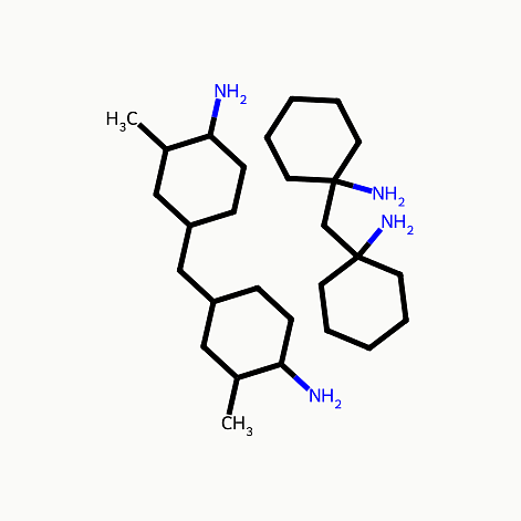 CC1CC(CC2CCC(N)C(C)C2)CCC1N.NC1(CC2(N)CCCCC2)CCCCC1